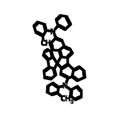 Cc1ccccc1N(c1ccccc1)c1ccc2c3c(ccc2c1)-c1c(cc(N(c2ccccc2)c2ccccc2C)c2ccccc12)C31c2ccccc2-c2ccccc21